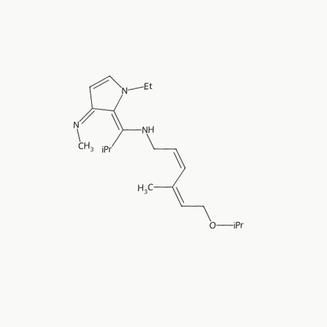 CCN1C=CC(=N/C)/C1=C(/NC/C=C\C(C)=C/COC(C)C)C(C)C